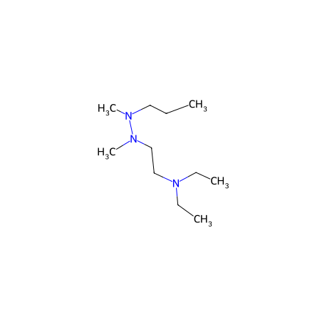 CCCN(C)N(C)CCN(CC)CC